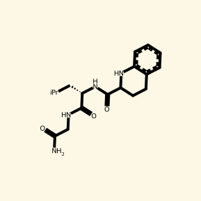 CC(C)C[C@H](NC(=O)C1CCc2ccccc2N1)C(=O)NCC(N)=O